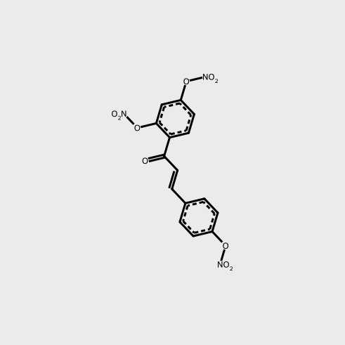 O=C(/C=C/c1ccc(O[N+](=O)[O-])cc1)c1ccc(O[N+](=O)[O-])cc1O[N+](=O)[O-]